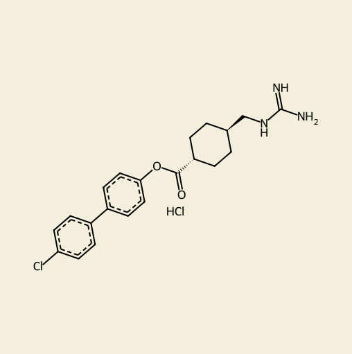 Cl.N=C(N)NC[C@H]1CC[C@H](C(=O)Oc2ccc(-c3ccc(Cl)cc3)cc2)CC1